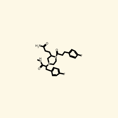 CNC(=O)C(Cc1ccc(F)cc1)N1CCN(C(=O)[CH]Cc2ccc(F)cc2)C(CCC(N)=O)C1